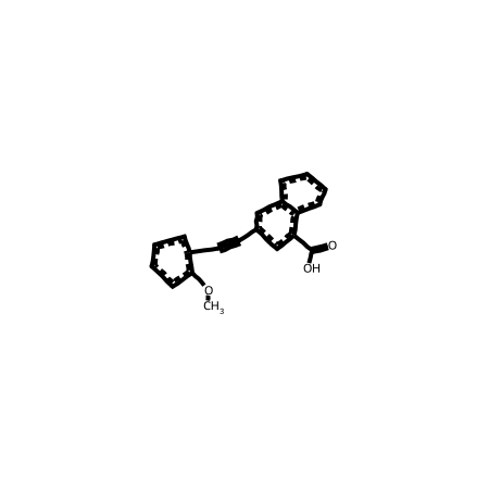 COc1ccccc1C#Cc1cc(C(=O)O)c2ccccc2c1